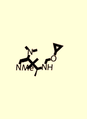 CN/C=C(/N(C)C)C(C)(C)[C@H](C)NCOC1CC1